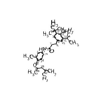 Cc1cc(NC(=O)CCc2cc(C(C)C)c(O)c(C(C)(C)C)c2)ccc1OC(C)CC(C)C